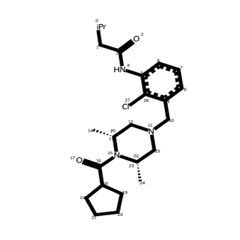 CC(C)CC(=O)Nc1cccc(CN2C[C@@H](C)N(C(=O)C3CCCC3)[C@@H](C)C2)c1Cl